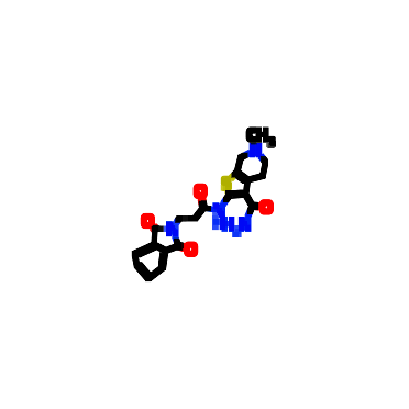 CN1CCc2c(sc(NC(=O)CCN3C(=O)c4ccccc4C3=O)c2C(N)=O)C1